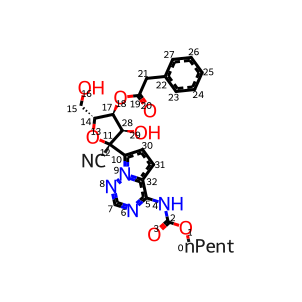 CCCCCOC(=O)Nc1ncnn2c([C@]3(C#N)O[C@H](CO)[C@@H](OC(=O)Cc4ccccc4)[C@H]3O)ccc12